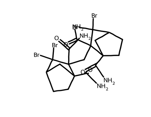 NC(=O)C12CCC(C1)C(Br)(Br)C2(CC1(C(N)=O)C2(C(N)=O)CCC(C2)C1(Br)Br)C(N)=O